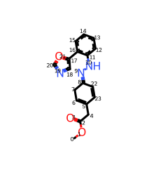 COC(=O)CC1=CCC(=NNc2ccccc2-c2cnco2)C=C1